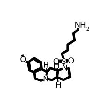 COc1ccc2c(c1)CCN1C[C@H]3CCCN(S(=O)(=O)CCCCCCN)[C@H]3C[C@@H]21